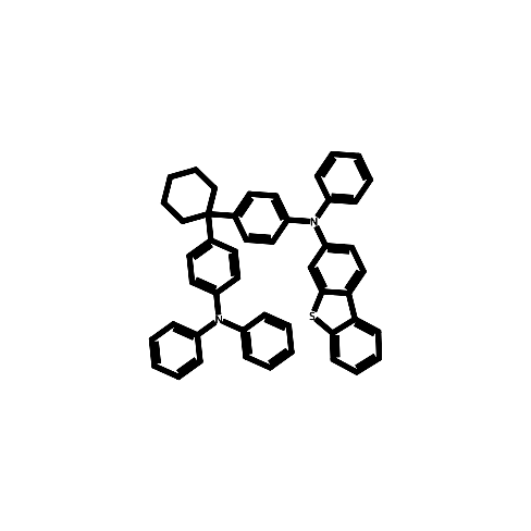 c1ccc(N(c2ccccc2)c2ccc(C3(c4ccc(N(c5ccccc5)c5ccc6c(c5)sc5ccccc56)cc4)CCCCC3)cc2)cc1